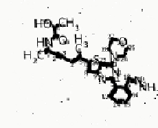 C=C(C#C/C=C(\C)c1cc2nc(-c3ccccc3/C=N\N)nc(N3CCOCC3)c2s1)NC(=O)C(C)O